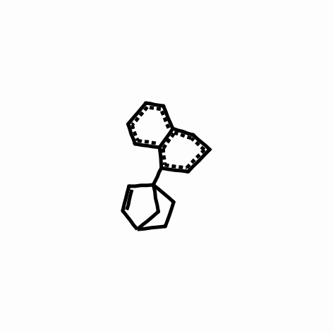 C1=CC2(c3cccc4ccccc34)CCC1C2